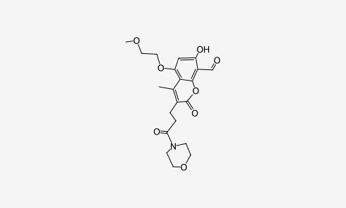 COCCOc1cc(O)c(C=O)c2oc(=O)c(CCC(=O)N3CCOCC3)c(C)c12